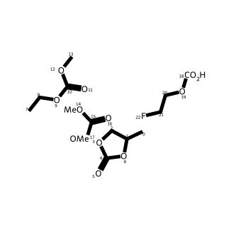 CC1COC(=O)O1.CCOC(=O)OC.COC(=O)OC.O=C(O)OCCF